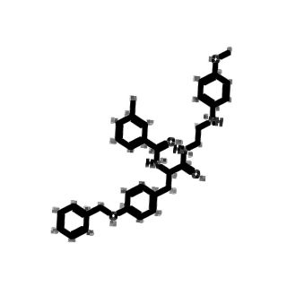 COc1ccc(NCCNC(=O)C(Cc2ccc(OCc3ccccc3)cc2)NC(=O)c2cccc(C)c2)cc1